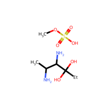 CCC(O)(O)C(N)C(C)N.COS(=O)(=O)O